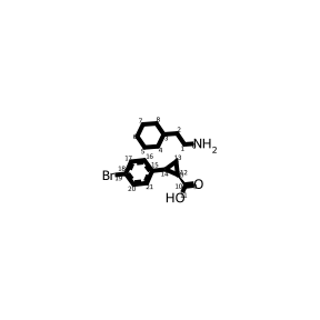 NCCC1CCCCC1.O=C(O)[C@@H]1CC1c1ccc(Br)cc1